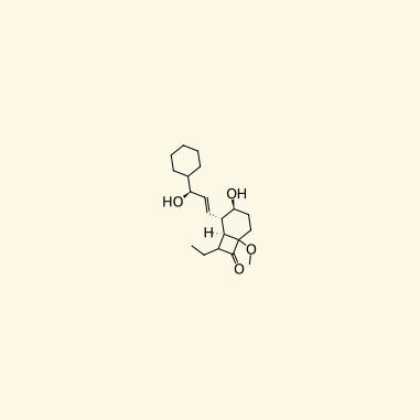 CCC1C(=O)C2(OC)CC[C@H](O)[C@@H](/C=C/[C@@H](O)C3CCCCC3)[C@H]12